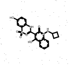 O=c1c(C2=NS(=O)(=O)c3cc(O)ccc3N2)c(O)c2ccccc2n1NC1CCC1